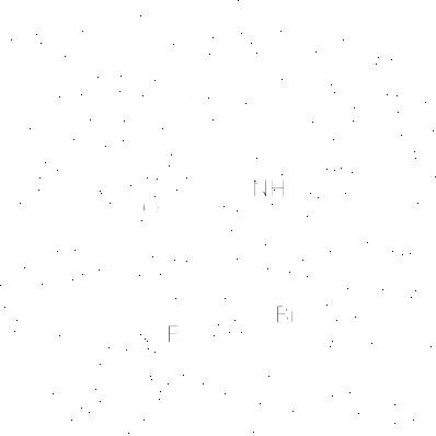 CC(C)NC(=O)C(F)Br